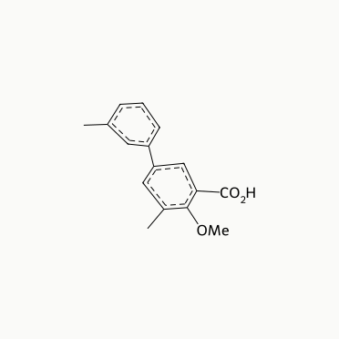 COc1c(C)cc(-c2cccc(C)c2)cc1C(=O)O